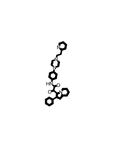 O=C(Nc1ccc(N2C=CN(CCc3ccccn3)C=C2)cc1)C(=O)c1c(-c2ccccc2)cc2ccccn12